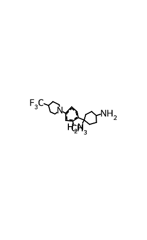 Cc1cc(N2CCC(C(F)(F)F)CC2)ccc1C1(N)CCC(N)CC1